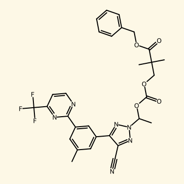 Cc1cc(-c2nccc(C(F)(F)F)n2)cc(-c2nn(C(C)OC(=O)OCC(C)(C)C(=O)OCc3ccccc3)nc2C#N)c1